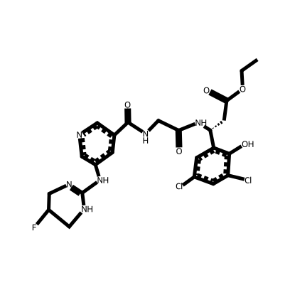 CCOC(=O)C[C@@H](NC(=O)CNC(=O)c1cncc(NC2=NCC(F)CN2)c1)c1cc(Cl)cc(Cl)c1O